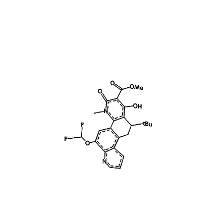 COC(=O)c1c(O)c2c(n(C)c1=O)-c1cc(OC(F)F)c3ncccc3c1CC2C(C)(C)C